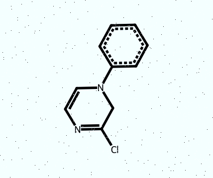 ClC1=NC=CN(c2ccccc2)C1